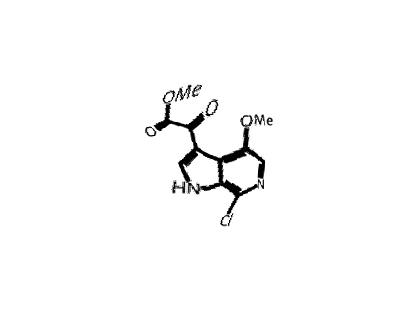 COC(=O)C(=O)c1c[nH]c2c(Cl)ncc(OC)c12